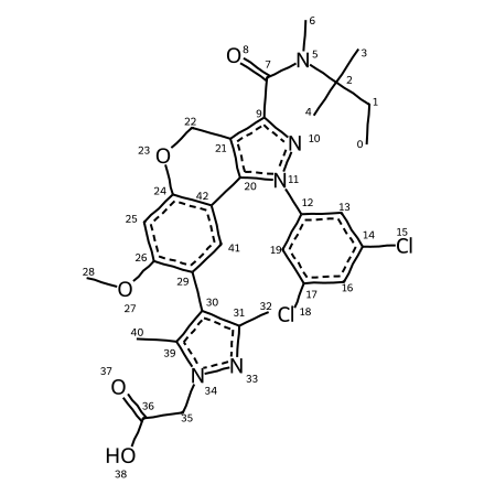 CCC(C)(C)N(C)C(=O)c1nn(-c2cc(Cl)cc(Cl)c2)c2c1COc1cc(OC)c(-c3c(C)nn(CC(=O)O)c3C)cc1-2